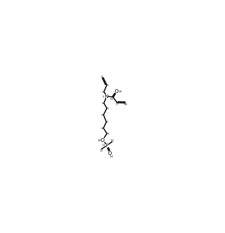 C=CCN(CCCCCCOP(C)(C)=O)C(=O)C=C